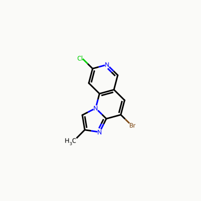 Cc1cn2c(n1)c(Br)cc1cnc(Cl)cc12